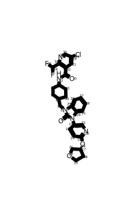 O=C(NC1CCC(Cn2c(=O)n(-c3ccc(O[C@H]4CCOC4)nc3)c3ccccc32)CC1)c1cc(Cl)cnc1C(F)F